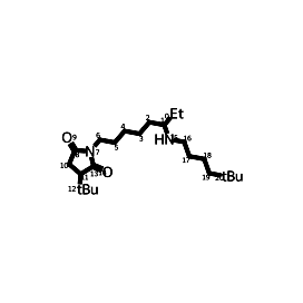 CCC(CCCCCN1C(=O)CC(C(C)(C)C)C1=O)NCCCCC(C)(C)C